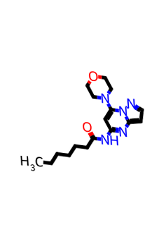 CCCCCCC(=O)Nc1cc(N2CCOCC2)n2nccc2n1